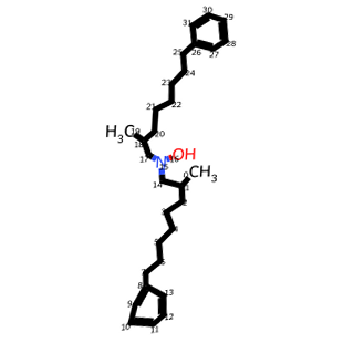 CC(CCCCCCc1ccccc1)CN(O)CC(C)CCCCCCc1ccccc1